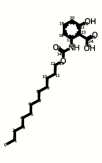 CCCCCCCCCCCCCOC(=O)Nc1cccc(O)c1C(=O)O